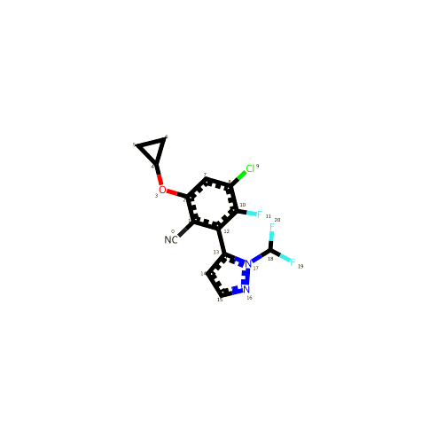 N#Cc1c(OC2CC2)cc(Cl)c(F)c1-c1ccnn1C(F)F